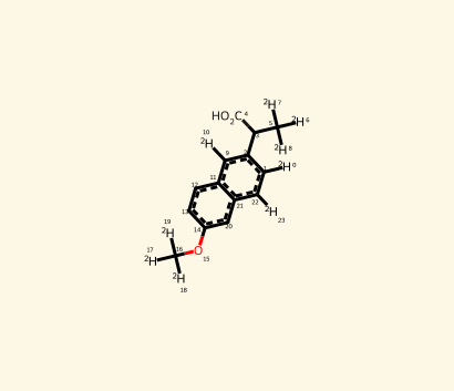 [2H]c1c(C(C(=O)O)C([2H])([2H])[2H])c([2H])c2ccc(OC([2H])([2H])[2H])cc2c1[2H]